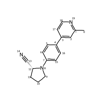 Cc1cc(-c2ccc(N3CCC[C@@H]3C#N)cc2)ccn1